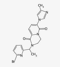 Cc1cn(-c2ccc3n(c2=O)CCN(C(C)c2cccc(Br)n2)C3=O)cn1